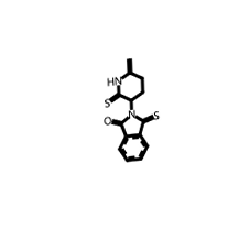 C=C1CCC(N2C(=O)c3ccccc3C2=S)C(=S)N1